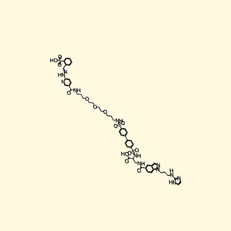 O=C(NCCCOCCOCCOCCCNS(=O)(=O)c1ccc(-c2ccc(S(=O)(=O)NC(CNC(=O)c3ccc4c(cnn4CCCNc4ncc[nH]4)c3)C(=O)O)cc2)cc1)c1ccc(N/N=C/c2ccccc2S(=O)(=O)O)nc1